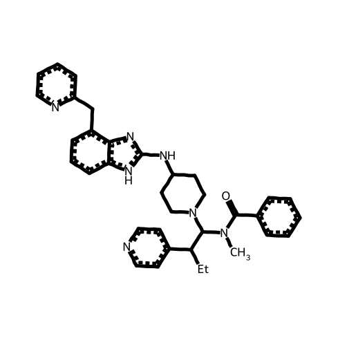 CCC(c1ccncc1)C(N1CCC(Nc2nc3c(Cc4ccccn4)cccc3[nH]2)CC1)N(C)C(=O)c1ccccc1